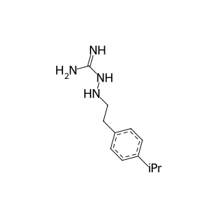 CC(C)c1ccc(CCNNC(=N)N)cc1